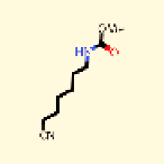 COC(=O)NCCCCCCC#N